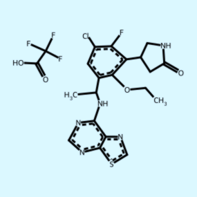 CCOc1c(C(C)Nc2ncnc3scnc23)cc(Cl)c(F)c1C1CNC(=O)C1.O=C(O)C(F)(F)F